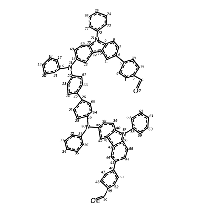 O=Cc1ccc(-c2ccc3c(c2)c2cc(N(c4ccccc4)c4ccc(-c5ccc(N(c6ccccc6)c6ccc7c(c6)c6cc(-c8ccc(C=O)cc8)ccc6n7-c6ccccc6)cc5)cc4)ccc2n3-c2ccccc2)cc1